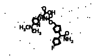 CN(C)c1ccc(C[C@H](NC(=O)OCc2ccc(C(C(N)=O)c3ccc(F)cc3)cc2)C(=O)O)cn1